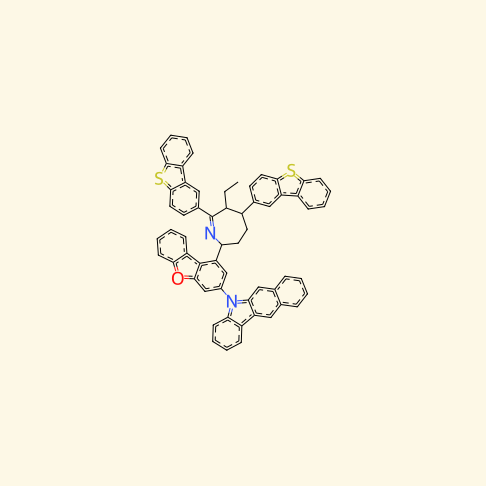 CCC1C(c2ccc3sc4ccccc4c3c2)=NC(c2cc(-n3c4ccccc4c4cc5ccccc5cc43)cc3oc4ccccc4c23)CCC1c1ccc2sc3ccccc3c2c1